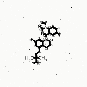 CC(C)(CCc1cc(F)cc2c1CCCN2c1nc2nncn2c2ccc(F)cc12)C(F)F